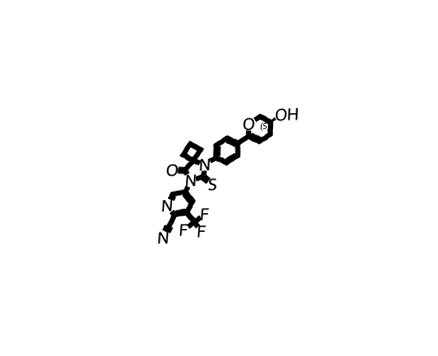 N#Cc1ncc(N2C(=O)C3(CCC3)N(c3ccc(C4=CC[C@H](O)CO4)cc3)C2=S)cc1C(F)(F)F